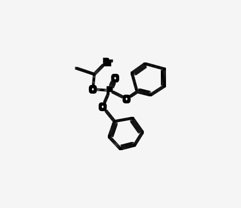 CC(Br)OP(=O)(Oc1ccccc1)Oc1ccccc1